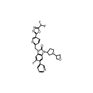 O=c1n(Cc2ccc(-c3nnc(C(F)F)o3)cn2)c2cc(F)c(-c3cccnc3)cc2n1C1CCN(C2COC2)C1